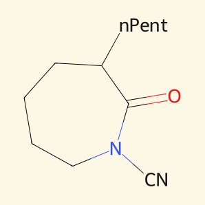 CCCCCC1CCCCN(C#N)C1=O